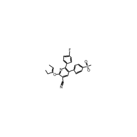 CC=C(CC)Oc1nc(-c2ccc(F)cc2)c(-c2ccc(S(C)(=O)=O)cc2)cc1C#N